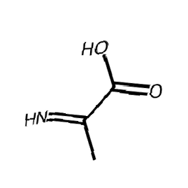 CC(=N)C(=O)O